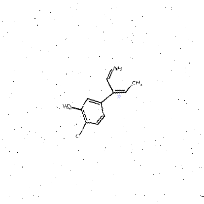 C/C=C(\C=N)c1ccc(Cl)c(O)c1